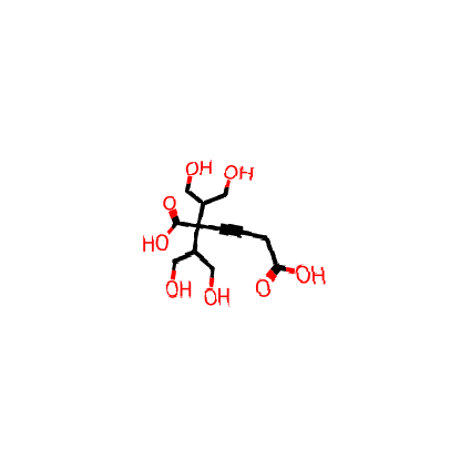 O=C(O)CC#CC(C(=O)O)(C(CO)CO)C(CO)CO